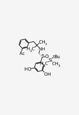 CC(=O)c1cccc(CC(C)(C)NC[C@H](O[Si](C)(C)C(C)(C)C)c2cc(O)cc(O)c2)c1